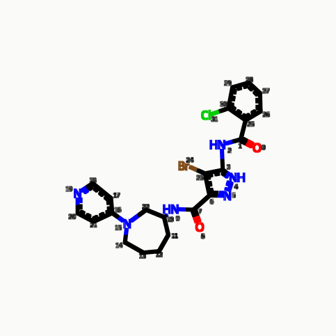 O=C(Nc1[nH]nc(C(=O)N[C@@H]2CCCCN(c3ccncc3)C2)c1Br)c1ccccc1Cl